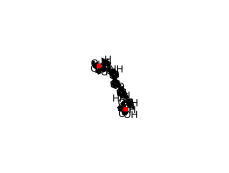 COC(=O)N[C@H](C(=O)N1[C@@H]2C[C@@H]2C[C@H]1c1nc2cc(-c3cccc(Oc4ccc5[nH]c([C@H]6C[C@H]7C[C@H]7N6C(=O)[C@@H](NC(=O)O)C(C)C)nc5c4)c3)ccc2[nH]1)C(C)C